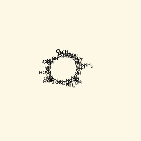 CCCC[C@H]1C(=O)N(C)[C@@H](CCCC)C(=O)N[C@@H](CC(C)C)C(=O)N[C@H](C(=O)NCC(N)=O)CSCC(=O)N[C@@H](Cc2ccc(O)cc2)C(=O)N(C)[C@@H](C)C(=O)N[C@@H](CC(N)=O)C(=O)N2CCC[C@H]2C(=O)N[C@@H](Cc2c[nH]cn2)C(=O)N[C@@H](CCC(N)=O)C(=O)N2C[C@H](O)C[C@H]2C(=O)N[C@@H](Cc2c[nH]c3ccccc23)C(=O)NCC(=O)N[C@@H](Cc2cn(C)c3ccccc23)C(=O)N1C